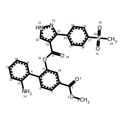 COC(=O)c1ccc(-c2ccccc2N)c(OC(=O)c2c[nH]nc2-c2ccc(S(C)(=O)=O)cc2)c1